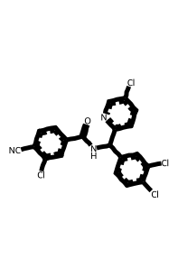 N#Cc1ccc(C(=O)NC(c2ccc(Cl)c(Cl)c2)c2ccc(Cl)cn2)cc1Cl